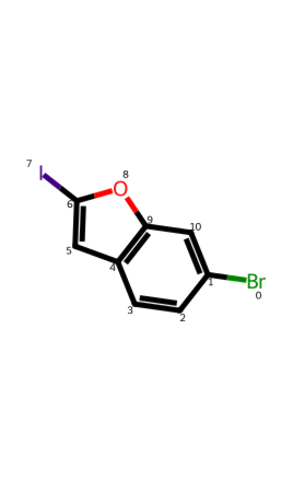 Brc1ccc2cc(I)oc2c1